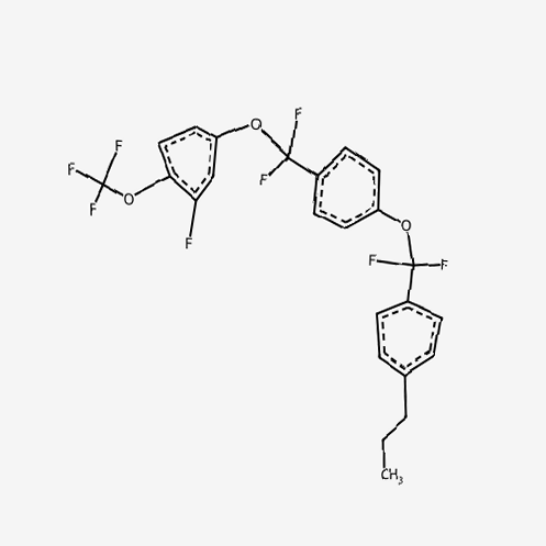 CCCc1ccc(C(F)(F)Oc2ccc(C(F)(F)Oc3ccc(OC(F)(F)F)c(F)c3)cc2)cc1